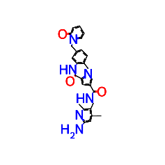 Cc1cc(N)nc(C)c1CNC(=O)c1cc2n(c1)Cc1ccc(Cn3ccccc3=O)cc1NC2=O